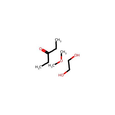 CCC(=O)CC.COC.OCCO